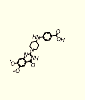 COc1cc2nc(N3CCC(Nc4ccc(C(=O)O)cc4)CC3)[nH]c(=O)c2cc1OC